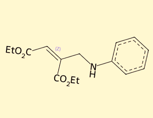 CCOC(=O)/C=C(/CNc1ccccc1)C(=O)OCC